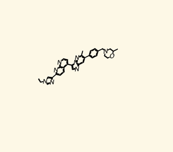 CCn1cnc(-c2ccc3c(-c4cnc5cc(-c6ccc(CN7CCOC(C)C7)cc6)c(C)nn45)ccnc3n2)c1